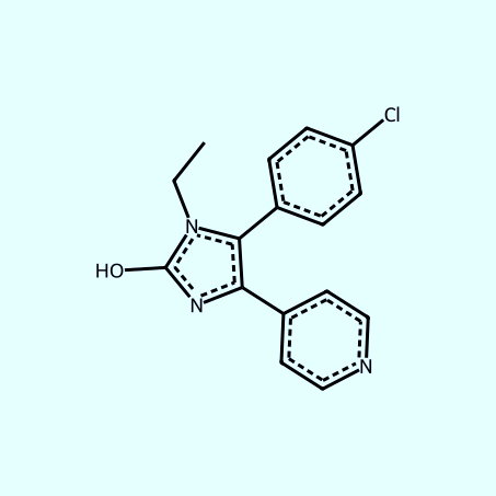 CCn1c(O)nc(-c2ccncc2)c1-c1ccc(Cl)cc1